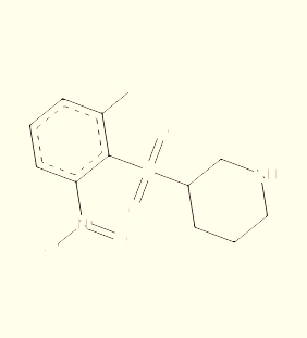 O=[N+]([O-])c1cccc(Cl)c1S(=O)(=O)C1CCCNC1